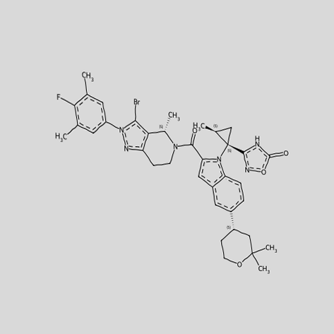 Cc1cc(-n2nc3c(c2Br)[C@H](C)N(C(=O)c2cc4cc([C@H]5CCOC(C)(C)C5)ccc4n2[C@@]2(c4noc(=O)[nH]4)C[C@@H]2C)CC3)cc(C)c1F